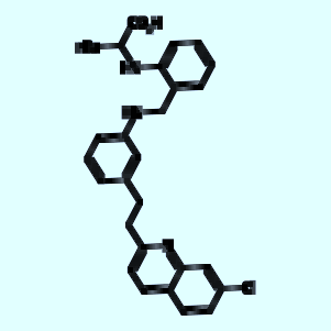 CCCCC(Nc1ccccc1CNc1cccc(CCc2ccc3ccc(Cl)cc3n2)c1)C(=O)O